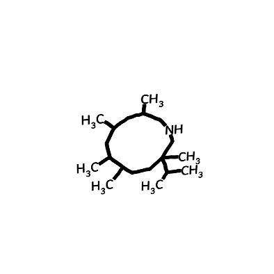 CC1CNCC(C)(C(C)C)CCC(C)C(C)CC(C)C1